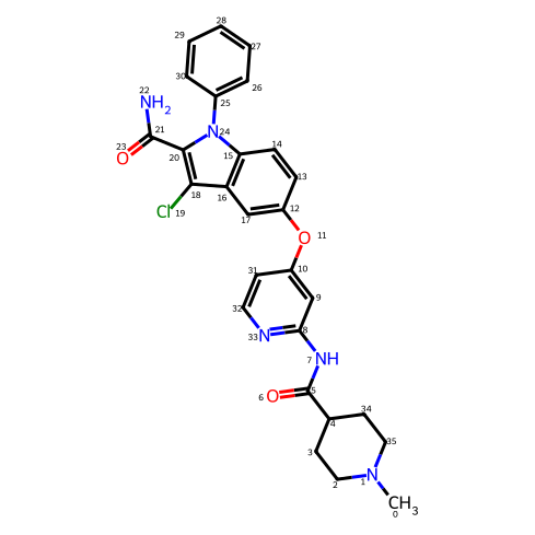 CN1CCC(C(=O)Nc2cc(Oc3ccc4c(c3)c(Cl)c(C(N)=O)n4-c3ccccc3)ccn2)CC1